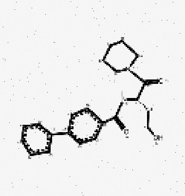 O=C(N[C@@H](CCO)C(=O)N1CCCCC1)c1ccc(-c2ccccc2)cc1